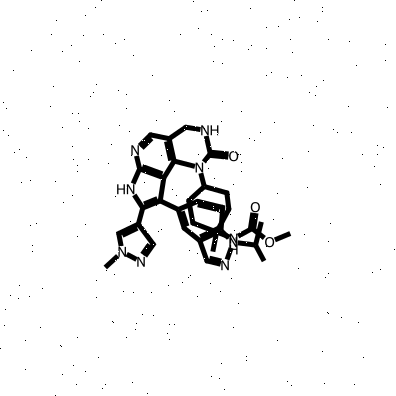 COC(=O)NC1(C)CCC(N2C(=O)NCc3cnc4[nH]c(-c5cnn(C)c5)c(-c5ccc6c(cnn6C(C)C)c5)c4c32)CC1